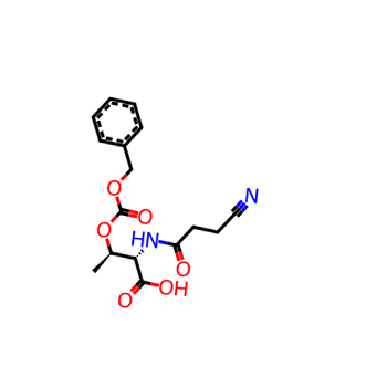 C[C@@H](OC(=O)OCc1ccccc1)[C@H](NC(=O)CCC#N)C(=O)O